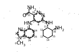 Cn1cnc2c(Nc3cc(N[C@@H]4CCCC[C@@H]4N)nnc3C(N)=O)cccc21